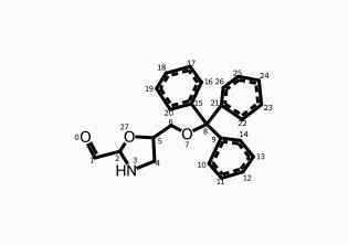 O=CC1NCC(COC(c2ccccc2)(c2ccccc2)c2ccccc2)O1